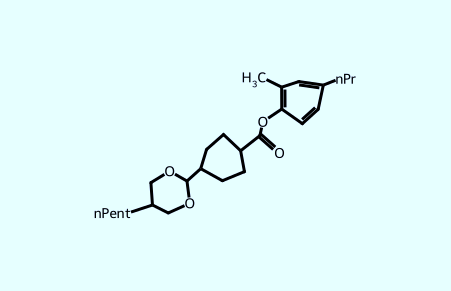 CCCCCC1COC(C2CCC(C(=O)Oc3ccc(CCC)cc3C)CC2)OC1